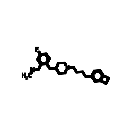 C=NCc1cc(F)ccc1CC1CCN(CCCCc2ccc3c(c2)CC3)CC1